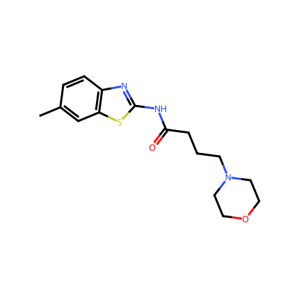 Cc1ccc2nc(NC(=O)CCCN3CCOCC3)sc2c1